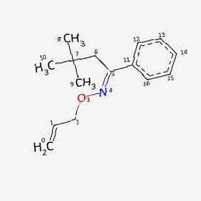 C=CCON=C(CC(C)(C)C)c1ccccc1